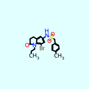 CCCN1C(=O)CCc2cc(NS(=O)(=O)Cc3ccc(C)cc3)cc(Br)c21